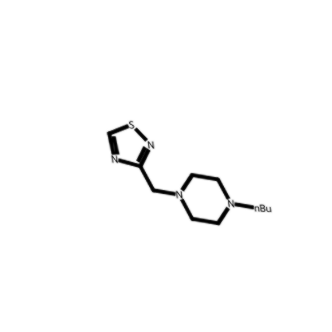 CCCCN1CCN(Cc2ncsn2)CC1